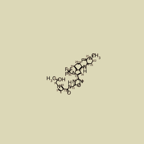 CC(O)Cn1ccc(C(=O)NCc2nc(-c3cc4c(N[C@@H]5CCN(C)C[C@@H]5F)cccc4n3CC(F)(F)F)no2)c1